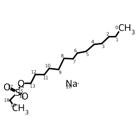 CCCCCCCCCCCCCCOS(=O)(=O)CC.[Na]